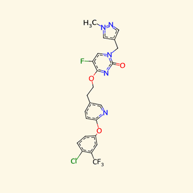 Cn1cc(Cn2cc(F)c(OCCc3ccc(Oc4ccc(Cl)c(C(F)(F)F)c4)nc3)nc2=O)cn1